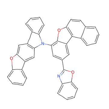 c1ccc2c(c1)ccc1oc3c(-n4c5ccccc5c5cc6oc7ccccc7c6cc54)cc(-c4nc5ccccc5o4)cc3c12